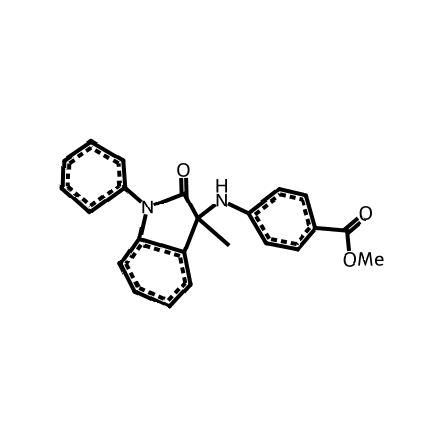 COC(=O)c1ccc(NC2(C)C(=O)N(c3ccccc3)c3ccccc32)cc1